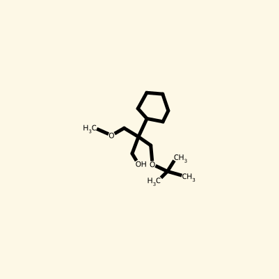 COCC(CO)(COC(C)(C)C)C1CCCCC1